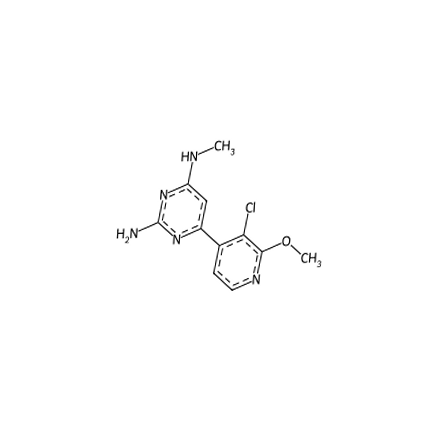 CNc1cc(-c2ccnc(OC)c2Cl)nc(N)n1